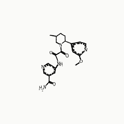 COc1cc(C2CCC(C)CN2C(=O)C(=O)Nc2cncc(C(N)=O)c2)ccn1